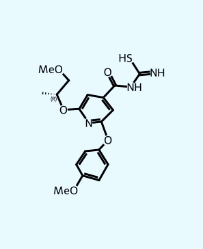 COC[C@@H](C)Oc1cc(C(=O)NC(=N)S)cc(Oc2ccc(OC)cc2)n1